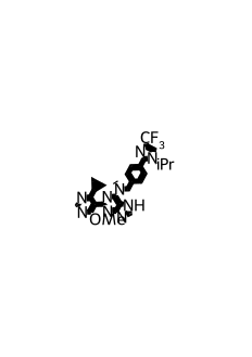 COc1ncnc(C2CC2)c1-c1nc(N(C)Cc2ccc(-c3nc(C(F)(F)F)cn3C(C)C)cc2)c2[nH]cnc2n1